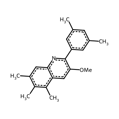 COc1cc2c(C)c(C)c(C)cc2nc1-c1cc(C)cc(C)c1